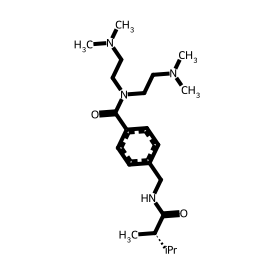 CC(C)[C@H](C)C(=O)NCc1ccc(C(=O)N(CCN(C)C)CCN(C)C)cc1